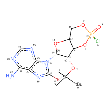 CC(C)(C)[Si](C)(C)O[C@H]1C2O[P@](=O)(Cl)OCC2O[C@H]1n1c(Br)nc2c(N)ncnc21